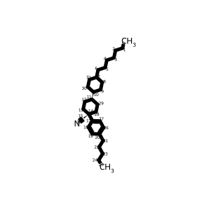 CCCCCCCC1CCC([C@H]2CC[C@](C#N)(c3ccc(CCCCC)cc3)CC2)CC1